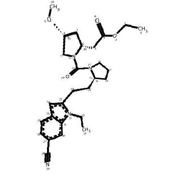 CCOC(=O)C[C@H]1C[C@@H](OC)CN1C(=O)N1CCC[C@H]1CCc1cc2ccc(C#N)cc2n1CC